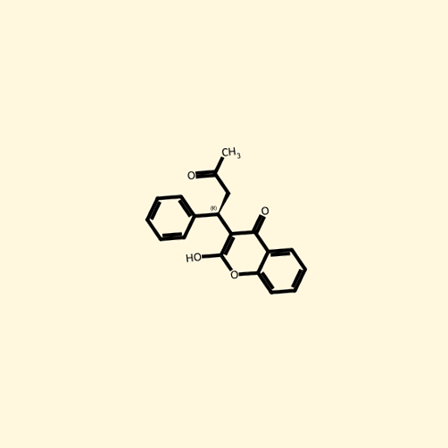 CC(=O)C[C@H](c1ccccc1)c1c(O)oc2ccccc2c1=O